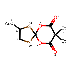 CCC1(CC)C(=O)OC2(OC1=O)SCC(OC(C)=O)S2